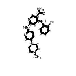 CN1CCN(c2ccc(Nc3cc(Nc4ccccc4F)c(C(N)=O)cn3)nc2)CC1